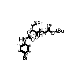 CC(C)C[C@H](OC(=O)Nc1ccc(Br)cc1)C(=O)NCC(=O)OC(C)(C)C